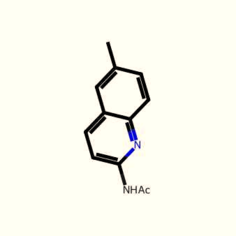 CC(=O)Nc1ccc2cc(C)ccc2n1